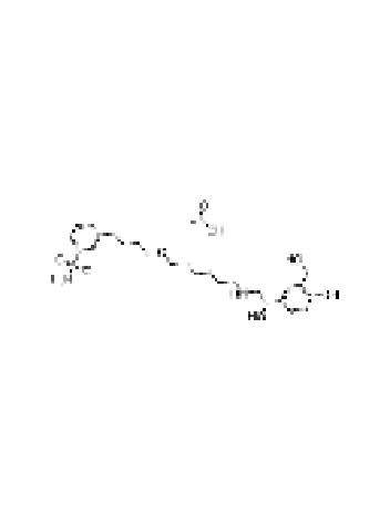 CC(=O)O.NS(=O)(=O)c1cccc(CCCCOCCCCCCNCC(O)c2ccc(O)c(CO)c2)c1